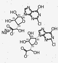 O=C([O-])C(O)[C@H]1O[C@@H](n2cnc3c(O)nc(Cl)nc32)[C@H](O)[C@@H]1O.O=C([O-])C(O)[C@H]1O[C@@H](n2cnc3c(O)nc(Cl)nc32)[C@H](O)[C@@H]1O.[Na+].[Na+]